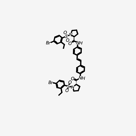 CCc1cc(Br)ccc1S(=O)(=O)N1CCC[C@H]1C(=O)Nc1ccc(/C=C/c2ccc(NC(=O)[C@@H]3CCCN3S(=O)(=O)c3ccc(Br)cc3CC)cc2)cc1